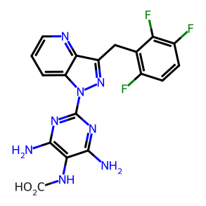 Nc1nc(-n2nc(Cc3c(F)ccc(F)c3F)c3ncccc32)nc(N)c1NC(=O)O